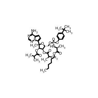 CCCCCCOC(=O)[C@H](C)NP(=O)(OC[C@H]1O[C@@](C)(c2ccc3c(N)ncnn23)[C@H](OC(=O)C(C)C)[C@@H]1OC(=O)C(C)C)Oc1ccc(C(C)(C)C)cc1